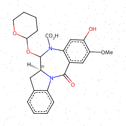 COc1cc2c(cc1O)N(C(=O)O)C(OC1CCCCO1)[C@@H]1Cc3ccccc3N1C2=O